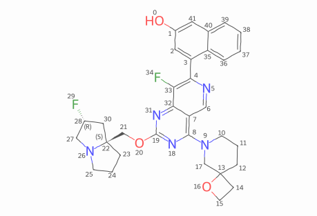 Oc1cc(-c2ncc3c(N4CCCC5(CCO5)C4)nc(OC[C@@]45CCCN4C[C@H](F)C5)nc3c2F)c2ccccc2c1